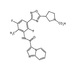 Cc1c(F)cc(-c2noc(C3CCN(C(=O)O)C3)n2)c(F)c1NC(=O)c1cnc2ccccn12